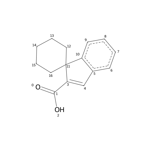 O=C(O)C1=Cc2ccccc2C12CCCCC2